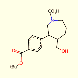 CC(C)(C)OC(=O)c1ccc(C2CN(C(=O)O)CCCC2CO)cc1